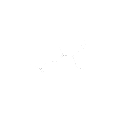 CCC(C#N)C(C)=NOC(C)=O